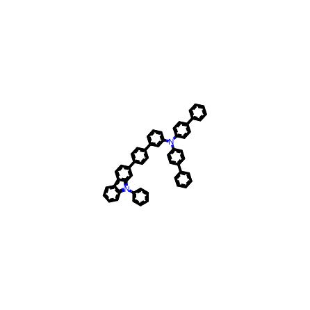 c1ccc(-c2ccc(N(c3ccc(-c4ccccc4)cc3)c3cccc(-c4ccc(-c5ccc6c7ccccc7n(-c7ccccc7)c6c5)cc4)c3)cc2)cc1